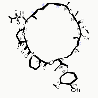 CO[C@@H]1C[C@H](C[C@@H](C)[C@@H]2CC[C@H](C)/C=C(\C)[C@@H](O)[C@@H](OC)C(=O)[C@H](C)C[C@H](C)/C=C/C=C/C=C(\C)[C@H](NS(=O)(=O)C(C)C)C[C@@H]3CC[C@@H](C)[C@@](O)(O3)C(=O)C(=O)N3CCCC[C@H]3C(=O)O2)CC[C@H]1O